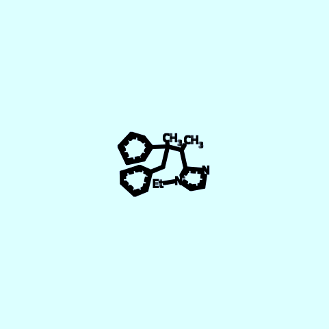 CCn1ccnc1C(C)C(C)(Cc1ccccc1)c1ccccc1